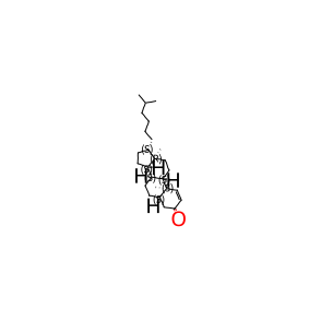 CC(C)CCCC[C@H]1CC[C@H]2[C@@H]3CC[C@H]4CC(=O)C=C[C@]4(C)[C@H]3CC[C@]12C